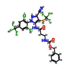 N#Cc1nn(-c2c(Cl)cc(C(F)(F)F)cc2Cl)c(NC(=O)CCNC(=O)OCc2ccccc2)c1SC(F)(F)F